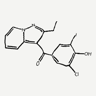 CCc1nn2ccccc2c1C(=O)c1cc(Cl)c(O)c(I)c1